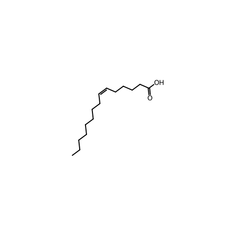 CCCCCCCC/C=C\CCCCC(=O)O